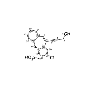 CS(=O)(=O)O.OCC#CC1=Cc2ccccc2Sc2ccc(Cl)cc21